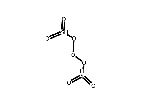 O=[SH](=O)OOO[SH](=O)=O